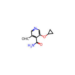 NC(=O)c1c(C=O)cncc1OC1CC1